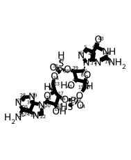 Nc1nc2c(cnn2[C@@H]2O[C@@H]3COP(=O)(S)OC4C(O)C(n5cnc6c(N)ncnc65)O[C@@H]4COP(=O)(S)OC2C3O)c(=O)[nH]1